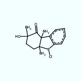 BC1(O)CCC2(B)B(Cl)c3ccccc3C2(N)C1=O